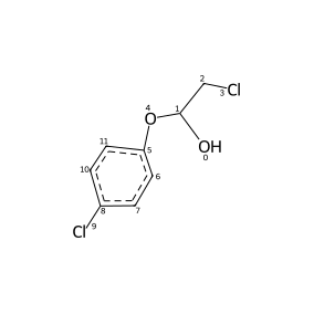 OC(CCl)Oc1ccc(Cl)cc1